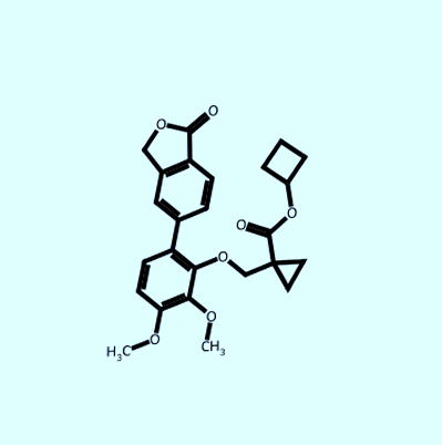 COc1ccc(-c2ccc3c(c2)COC3=O)c(OCC2(C(=O)OC3CCC3)CC2)c1OC